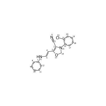 N#CC1=C(/C=C/Nc2ccccc2)OCN1c1ccccc1Cl